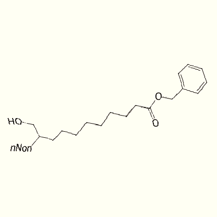 CCCCCCCCCC(CO)CCCCCCCCC(=O)OCc1ccccc1